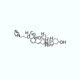 COc1cc(C=C2C[C@H]3[C@@H]4CC=C5CC(O)CC[C@]5(C)[C@@H]4CC[C@]3(C)C2O)ccc1OCCCn1ccnc1